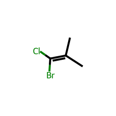 CC(C)=C(Cl)Br